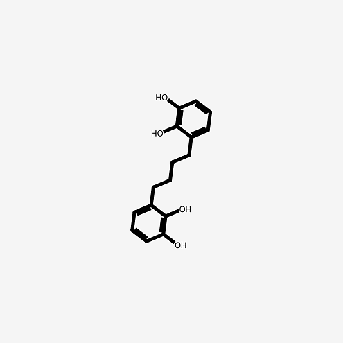 Oc1cccc(CCCCc2cccc(O)c2O)c1O